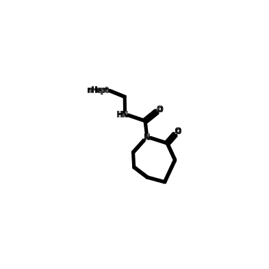 CCCCCCCCNC(=O)N1CCCCCC1=O